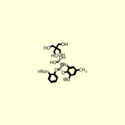 CCCCCCCCCc1ccccc1OP(Oc1c(C(C)(C)C)cc(C)cc1C(C)(C)C)OP(O)O.OCC(CO)(CO)CO